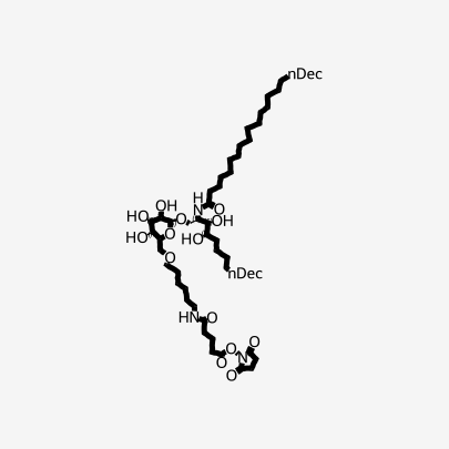 CCCCCCCCCCCCCCCCCCCCCCCCCC(=O)N[C@@H](CO[C@H]1OC(COCCCCCCNC(=O)CCCC(=O)ON2C(=O)CCC2=O)[C@H](O)[C@H](O)C1O)[C@H](O)[C@H](O)CCCCCCCCCCCCCC